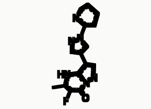 Cc1[nH]c2c(-c3cnn(-c4ccccn4)c3)cnn2c(=O)c1F